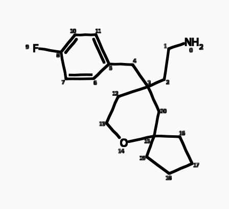 NCCC1(Cc2ccc(F)cc2)CCOC2(CCCC2)C1